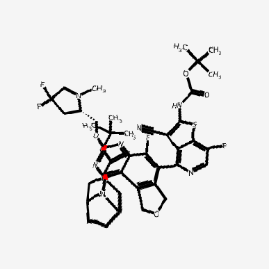 CN1CC(F)(F)C[C@H]1COc1nc(N2C3CCC2CN(C(=O)OC(C)(C)C)C3)c2c3c(c(-c4ncc(F)c5sc(NC(=O)OC(C)(C)C)c(C#N)c45)c(F)c2n1)COC3